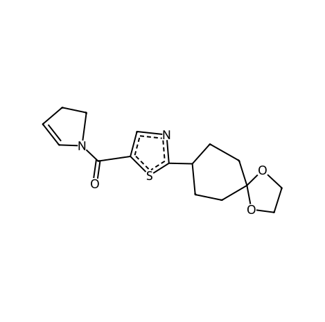 O=C(c1cnc(C2CCC3(CC2)OCCO3)s1)N1C=CCC1